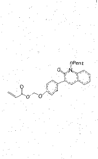 C=CC(=O)OCOc1ccc(-c2cc3ccccc3n(CCCCC)c2=O)cc1